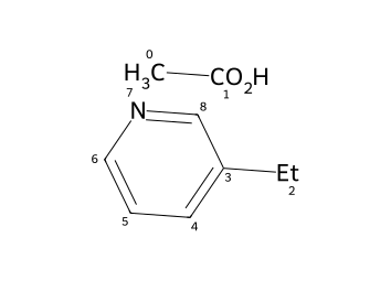 CC(=O)O.CCc1cccnc1